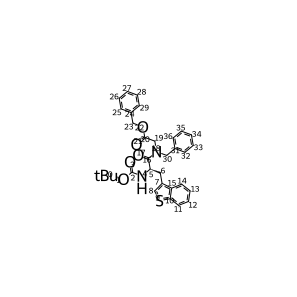 CC(C)(C)OC(=O)N[C@H](Cc1csc2ccccc12)C(=O)N(CC(=O)OCc1ccccc1)Cc1ccccc1